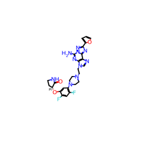 Nc1nc2c(ncn2CCN2CCN(c3cc(O[C@@H]4CCNC4=O)c(F)cc3F)CC2)c2nc(-c3ccco3)nn12